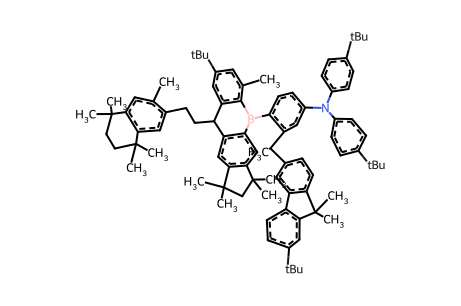 Cc1cc2c(cc1CCC1c3cc4c(cc3B(c3ccc(N(c5ccc(C(C)(C)C)cc5)c5ccc(C(C)(C)C)cc5)cc3C(C)c3ccc5c(c3)-c3ccc(C(C)(C)C)cc3C5(C)C)c3c(C)cc(C(C)(C)C)cc31)C(C)(C)CC4(C)C)C(C)(C)CCC2(C)C